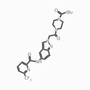 CC(C)(C)C(=O)N1CCN(C(=O)Cn2cc3cc(NC(=O)c4cccc(C(F)(F)F)n4)ccc3n2)CC1